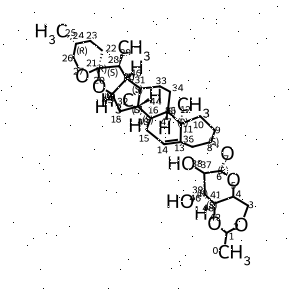 CC1OCC2O[C@@H](O[C@H]3CC[C@@]4(C)C(=CC[C@H]5[C@@H]6C[C@@H]7O[C@]8(CC[C@@H](C)CO8)[C@@H](C)[C@@H]7[C@@]6(C)CC[C@@H]54)C3)C(O)[C@@H](O)[C@@H]2O1